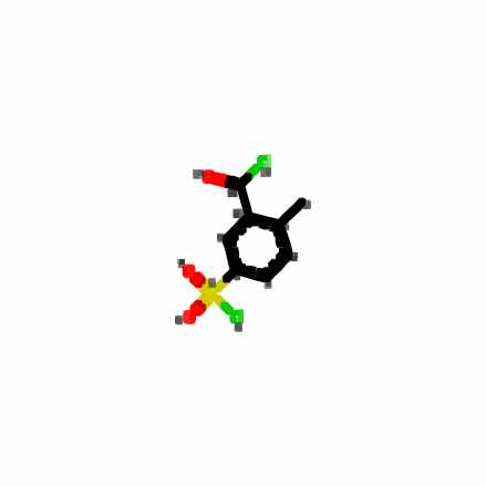 Cc1ccc(S(=O)(=O)Cl)cc1C(=O)Cl